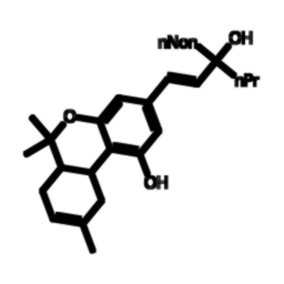 CCCCCCCCCC(O)(C=Cc1cc(O)c2c(c1)OC(C)(C)C1CC=C(C)CC21)CCC